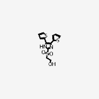 O=S(=O)(CCO)c1nc(-c2cccs2)c(-c2cccs2)[nH]1